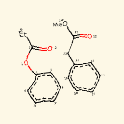 CCC(=O)Oc1ccccc1.COC(=O)Cc1ccccc1